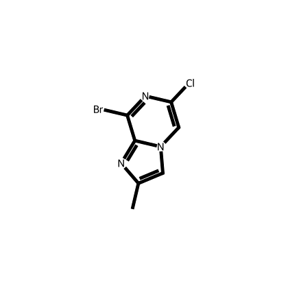 Cc1cn2cc(Cl)nc(Br)c2n1